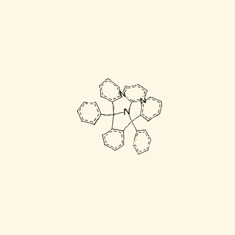 c1ccc(C2(c3ccccc3)c3ccccc3C(c3ccccc3)(c3ccccc3)N2c2ncccn2)cc1